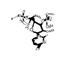 BC(B)(OP(=O)(O)O)C1OC(n2ccc(=O)[nH]c2=O)C(OC)C1OP(=O)(OC)OC